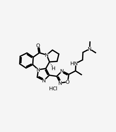 CC(NCCN(C)C)c1nc(-c2ncn3c2[C@@H]2CCCN2C(=O)c2ccccc2-3)no1.Cl